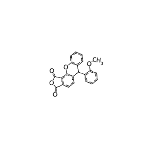 COc1ccccc1C1c2ccccc2Oc2c1ccc1c2C(=O)OC1=O